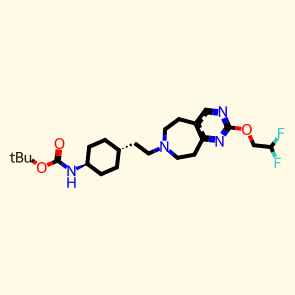 CC(C)(C)OC(=O)N[C@H]1CC[C@H](CCN2CCc3cnc(OCC(F)F)nc3CC2)CC1